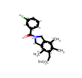 CCOC(=O)Cc1c(C)c(C)c2c(c1C)CN(C(=O)c1cccc(F)c1)C2